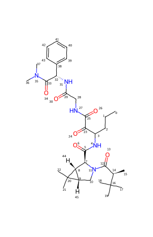 CCCC(NC(=O)[C@@H]1[C@@H]2[C@H](CN1C(=O)[C@@H](C)C(C)(C)C)C2(C)C)C(=O)C(=O)NCC(=O)N[C@H](C(=O)N(C)C)c1ccccc1